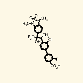 C[C@@H](c1ccc(-c2ccc(C(=O)O)c(F)c2)cc1Cl)[C@](O)(c1ccc2c(c1)N(C)S(=O)(=O)N2C)C(F)(F)F